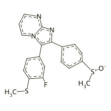 CSc1ccc(-c2c(-c3ccc([S+](C)[O-])cc3)nc3ncccn23)cc1F